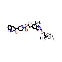 Cc1cc(CC(OC(=O)N2CCC(c3cc4ccccc4[nH]c3=O)CC2)C(=O)O)cc2cn(COCC[Si](C)(C)C)nc12